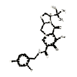 CC(C)(C)[C@@H]1CSC2Cn3cc(C(=O)NCc4ccc(F)cc4F)c(=O)c(O)c3C(=O)N21